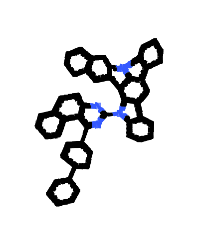 c1ccc(-c2ccc(-c3nc(-n4c5ccccc5c5cc6c7ccccc7n7c8cc9ccccc9cc8c(c54)c67)nc4ccc5ccccc5c34)cc2)cc1